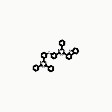 c1ccc(-c2nc(-c3ccccc3)nc(-c3cccc(Oc4cccc(-c5nc(-c6ccccc6)nc(-c6cccc7c6sc6ccccc67)n5)c4)c3)n2)cc1